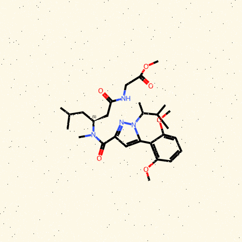 COC(=O)CNC(=O)C[C@H](CC(C)C)N(C)C(=O)c1cc(-c2c(OC)cccc2OC)n(C(C)C(C)C)n1